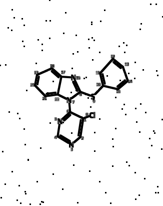 Clc1cncnc1-n1c(Sc2ccccc2)nc2ccccc21